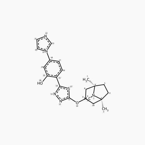 CN1[C@@]2(C)CC[C@]1(C)CC(Oc1nnc(-c3ccc(-n4ccnc4)cc3O)s1)C2